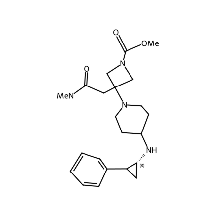 CNC(=O)CC1(N2CCC(N[C@@H]3CC3c3ccccc3)CC2)CN(C(=O)OC)C1